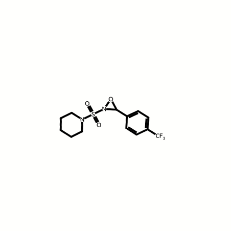 O=S(=O)(N1CCCCC1)N1OC1c1ccc(C(F)(F)F)cc1